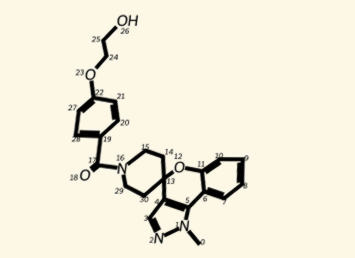 Cn1ncc2c1-c1ccccc1OC21CCN(C(=O)c2ccc(OCCO)cc2)CC1